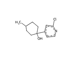 CC1CCC(O)(c2ccnc(Cl)c2)CC1